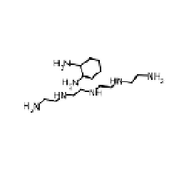 NC1CCCCC1N.NCCNCCNCCNCCN